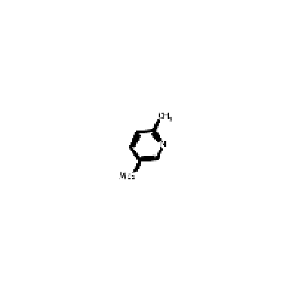 CSc1ccc(C)nc1